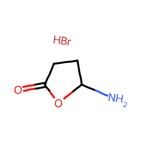 Br.NC1CCC(=O)O1